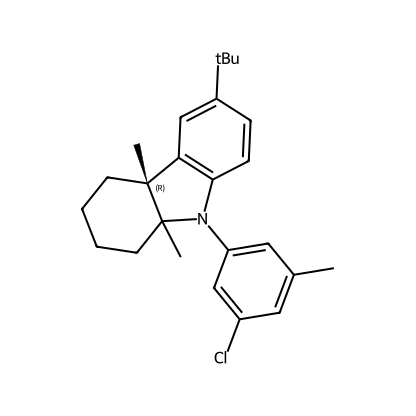 Cc1cc(Cl)cc(N2c3ccc(C(C)(C)C)cc3[C@@]3(C)CCCCC23C)c1